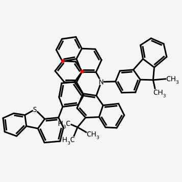 CC(C)(C)c1cc(-c2ccccc2)c(N(c2ccc3c(c2)-c2ccccc2C3(C)C)c2ccc3ccccc3c2-c2ccc(-c3cccc4c3sc3ccccc34)cc2)c2ccccc12